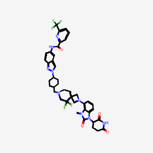 Cn1c(=O)n(C2CCC(=O)NC2=O)c2cccc(N3CC4(CCN(CC5CCC(n6cc7cc(NC(=O)c8cccc(C(F)(F)F)n8)ccc7n6)CC5)CC4(F)F)C3)c21